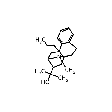 CCC[C@]12CC3C(C(C)(C)O)CC1C(Cc1ccccc12)N3C